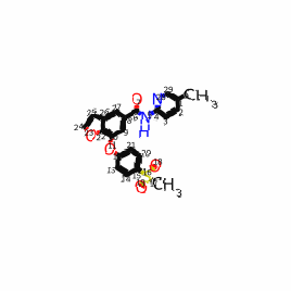 Cc1ccc(NC(=O)c2cc(Oc3ccc(S(C)(=O)=O)cc3)c3occc3c2)nc1